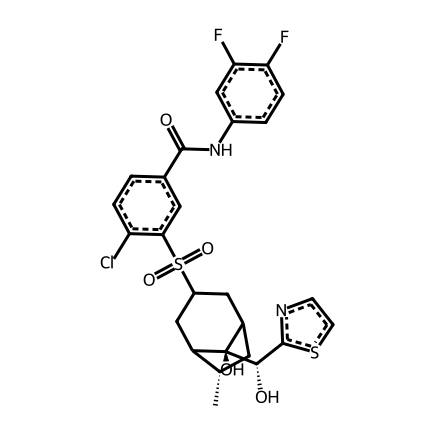 C[C@H]1CC2CC(S(=O)(=O)c3cc(C(=O)Nc4ccc(F)c(F)c4)ccc3Cl)CC1[C@@]2(O)[C@@H](O)c1nccs1